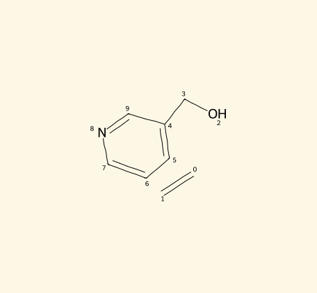 C=C.OCc1cccnc1